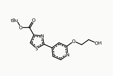 CC(C)(C)OC(=O)c1csc(-c2ccnc(OCCO)c2)n1